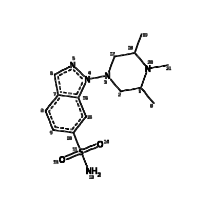 CC1CN(n2ncc3ccc(S(N)(=O)=O)cc32)CC(C)N1C